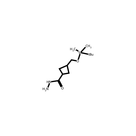 CC(C)(C)[Si](C)(C)OCC1CC(C(=O)NN)C1